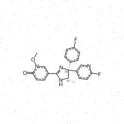 COn1cc(C2=N[C@@](c3ccc(F)cc3)(c3ccc(F)nc3)[C@H](C)N2)ccc1=O